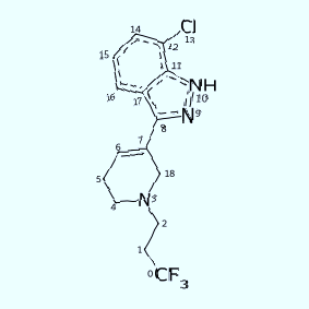 FC(F)(F)CCN1CCC=C(c2n[nH]c3c(Cl)cccc23)C1